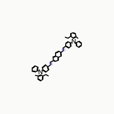 CCc1cccc(C)c1N(c1ccccc1)c1ccc(/C=C/c2ccc3cc(/C=C/c4ccc(N(c5ccccc5)c5c(C)cccc5CC)cc4)ccc3c2)cc1